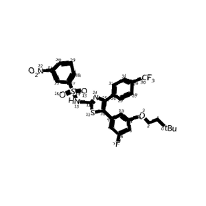 CC(C)(C)CCOc1cc(F)cc(-c2sc(NS(=O)(=O)c3cccc([N+](=O)[O-])c3)nc2-c2ccc(C(F)(F)F)cc2)c1